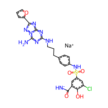 [NH-]C(=O)c1cc(S(=O)(=O)Nc2ccc(CCCNc3nc(N)n4nc(-c5ccco5)nc4n3)cc2)cc(Cl)c1O.[Na+]